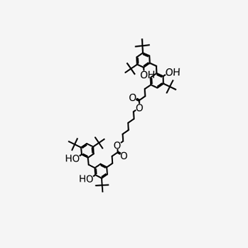 CC(C)(C)c1cc(Cc2cc(CCC(=O)OCCCCCCOC(=O)CCc3cc(Cc4cc(C(C)(C)C)cc(C(C)(C)C)c4O)c(O)c(C(C)(C)C)c3)cc(C(C)(C)C)c2O)c(O)c(C(C)(C)C)c1